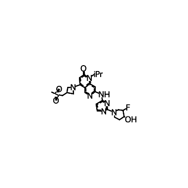 CC(C)n1c(=O)cc(N2CC(CS(C)(=O)=O)C2)c2cnc(Nc3ccnc(N4CCC(O)C(F)C4)n3)cc21